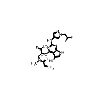 C=CC(=O)N(C)C[C@H](Oc1nc(Nc2cnn(CC(F)F)c2)nc2[nH]cc(C#N)c12)[C@@H](F)CC